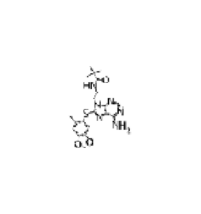 Cc1cc2c(cc1Sc1nc3c(N)ncnc3n1CCNC(=O)C(C)(C)C)OCO2